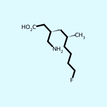 C[C@H](CCCCF)C[C@H](CN)CC(=O)O